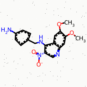 COc1cc2ncc([N+](=O)[O-])c(NCc3ccc(N)cc3)c2cc1OC